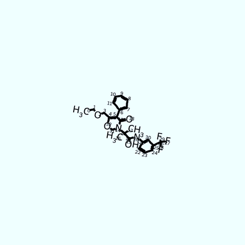 CCOCC1=C(c2ccccc2)C(=O)N(C(C)(C)C(=O)Nc2cccc(C(F)(F)F)c2)CO1